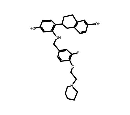 Oc1ccc2c(c1)CCC(c1ccc(O)cc1NCc1ccc(OCCN3CCCCC3)c(F)c1)C2